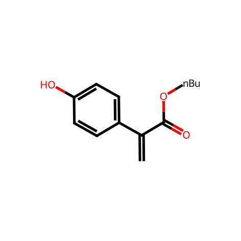 C=C(C(=O)OCCCC)c1ccc(O)cc1